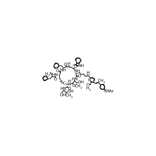 C=Cc1nc(NCCCC[C@@H]2NC(=O)[C@@H](Cc3c[nH]c4ccccc34)NC(=O)[C@H](Cc3ccccc3)NC(=O)[C@@H](NC(=O)[C@H](N)Cc3ccccc3)CSSC[C@@H](C(=O)NC(CO)C(C)O)NC(=O)[C@H]([C@@H](C)O)NC2=O)ccc1/C=C(\C)c1ccc(OC)cc1